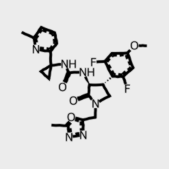 COc1cc(F)c([C@@H]2CN(Cc3nnc(C)o3)C(=O)[C@H]2NC(=O)NC2(c3cccc(C)n3)CC2)c(F)c1